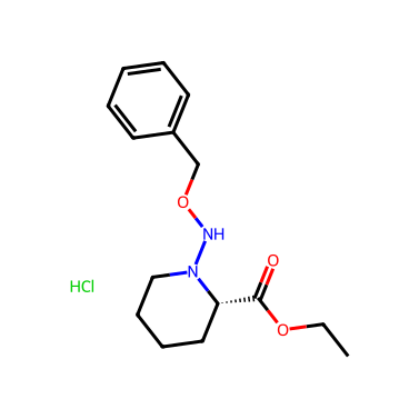 CCOC(=O)[C@@H]1CCCCN1NOCc1ccccc1.Cl